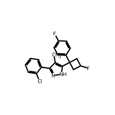 Cc1c(-c2ccccc2Cl)n[nH]c1C1(c2ccc(F)cc2)CC(F)C1